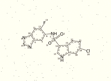 O=S(=O)(Nc1cc2nsnc2cc1F)c1c[nH]c2cc(Cl)ccc12